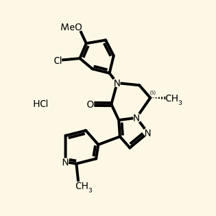 COc1ccc(N2C[C@H](C)n3ncc(-c4ccnc(C)c4)c3C2=O)cc1Cl.Cl